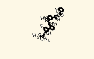 CN(C)CCNc1cc(F)cc(-c2cccc3[nH]c(-c4n[nH]c5ccc(-c6cncc(NC(=O)C7CCCCC7)c6)cc45)cc23)c1